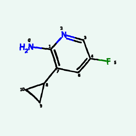 Nc1ncc(F)cc1C1CC1